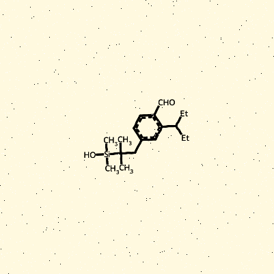 CCC(CC)c1cc(CC(C)(C)[Si](C)(C)O)ccc1C=O